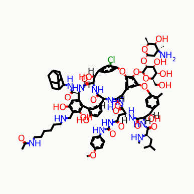 CN[C@H](CC(C)C)C(=O)N[C@H]1C(=O)N[C@@H](CC(=O)NC(=O)Nc2ccc(OC)cc2)C(=O)N[C@H]2C(=O)N[C@H]3C(=O)N[C@H](C(=O)N[C@H](C(=O)NC4C5CC6CC(C5)CC4C6)c4cc(O)c(CNCCCCCCNC(C)=O)c(O)c4-c4cc3ccc4O)[C@H](O)c3ccc(c(Cl)c3)Oc3cc2cc(c3O[C@@H]2O[C@H](CO)[C@@H](O)[C@H](O)[C@H]2O[C@H]2C[C@](C)(N)[C@H](O)[C@H](C)O2)Oc2ccc(cc2C)[C@H]1O